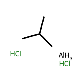 CC(C)C.Cl.Cl.[AlH3]